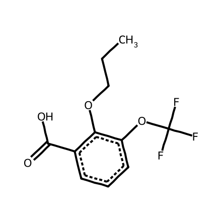 CCCOc1c(OC(F)(F)F)cccc1C(=O)O